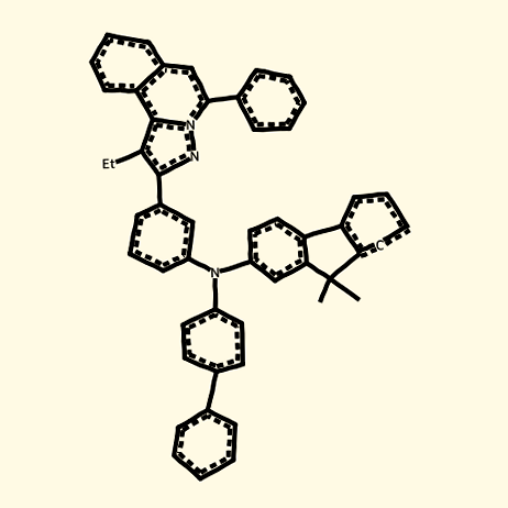 CCc1c(-c2cccc(N(c3ccc(-c4ccccc4)cc3)c3ccc4c(c3)C(C)(C)c3ccccc3-4)c2)nn2c(-c3ccccc3)cc3ccccc3c12